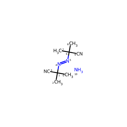 CC(C)(C#N)N=NC(C)(C)C#N.N